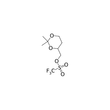 CC1(C)OCCC(COS(=O)(=O)C(F)(F)F)O1